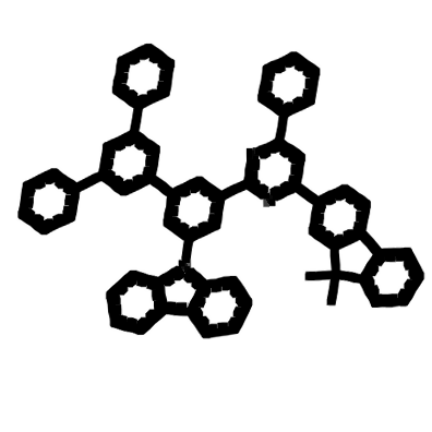 CC1(C)c2ccccc2-c2ccc(-c3cc(-c4ccccc4)nc(-c4cc(-c5cc(-c6ccccc6)cc(-c6ccccc6)c5)cc(-n5c6ccccc6c6ccccc65)c4)n3)cc21